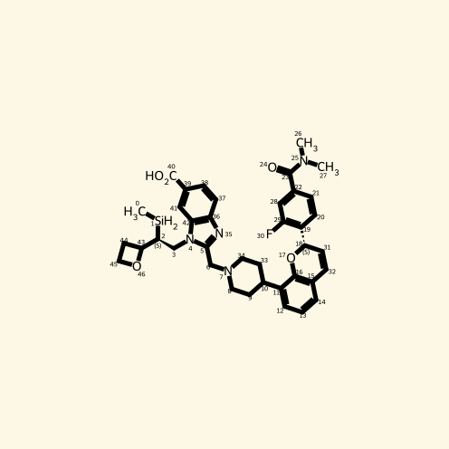 C[SiH2][C@@H](Cn1c(CN2CCC(c3cccc4c3O[C@H](c3ccc(C(=O)N(C)C)cc3F)C=C4)CC2)nc2ccc(C(=O)O)cc21)C1CCO1